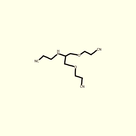 N#CCCNC(COCCC#N)COCCC#N